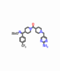 CO/N=C(\c1ccc(C(F)(F)F)cc1)C1CCN(C(=O)C2CCN(Cc3cnc(N)nc3)CC2)CC1